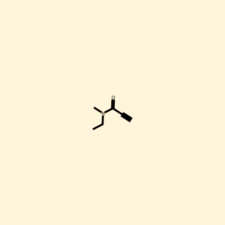 C#CC(=O)N(C)CC